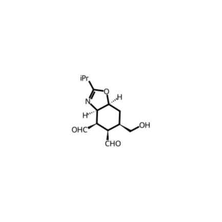 CC(C)C1=N[C@@H]2[C@H](C=O)[C@H](C=O)[C@H](CO)C[C@@H]2O1